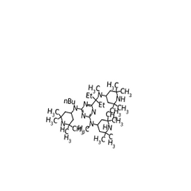 CCCCN(c1nc(N(C)C2CC(C)(C)NC(C)(C)C2)nc(C(CC)(CC)N(C)C2CC(C)(C)NC(C)(C)C2)n1)C1CC(C)(C)NC(C)(C)C1